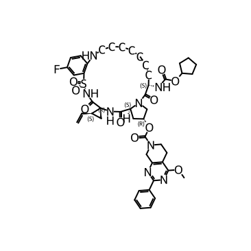 C=C[C@@H]1C[C@@]12NC(=O)[C@@H]1C[C@@H](OC(=O)N3CCc4c(nc(-c5ccccc5)nc4OC)C3)CN1C(=O)[C@@H](NC(=O)OC1CCCC1)CCCCCCCNc1ccc(F)cc1S(=O)(=O)NC2=O